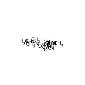 CN(C)CCN(C)C1CCN(c2ccc3nc(NC(=O)c4ccnc(-c5cnn(C)c5)c4F)n(CC(C)(C)O)c3c2)CC1